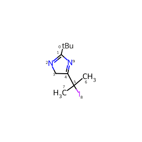 CC(C)(C)C1=NCC(C(C)(C)I)=N1